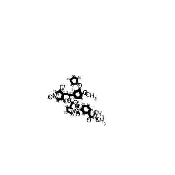 COc1ccc(C(Cc2c(Cl)c[n+]([O-])cc2Cl)OC(=O)C2CCCN2S(=O)(=O)c2cccc(C(=O)N(C)C)c2)cc1OC1CCCC1